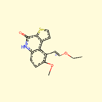 CCO/C=C/c1c(OC)ccc2[nH]c(=O)c3sccc3c12